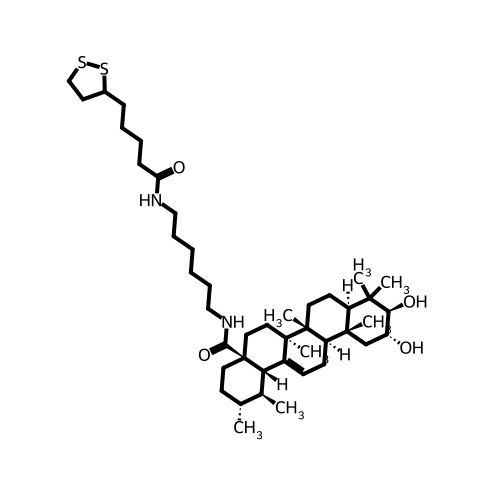 C[C@H]1[C@H](C)CC[C@]2(C(=O)NCCCCCCNC(=O)CCCCC3CCSS3)CC[C@]3(C)C(=CC[C@@H]4[C@@]5(C)C[C@@H](O)[C@H](O)C(C)(C)[C@@H]5CC[C@]43C)[C@H]12